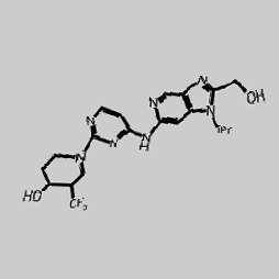 CC(C)n1c(CO)nc2cnc(Nc3ccnc(N4CCC(O)C(C(F)(F)F)C4)n3)cc21